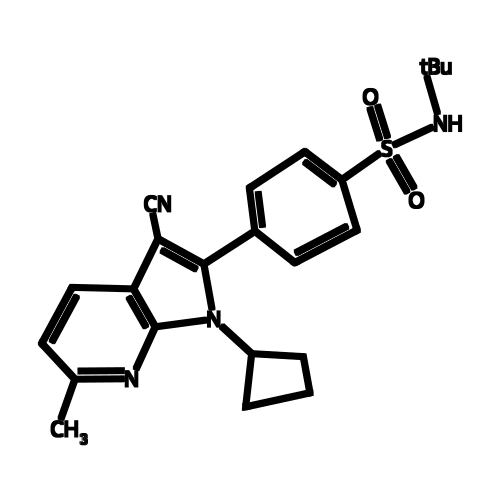 Cc1ccc2c(C#N)c(-c3ccc(S(=O)(=O)NC(C)(C)C)cc3)n(C3CCC3)c2n1